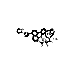 COC(=O)N[C@H](C(=O)N1Cc2c(ccc(-c3ccc(-c4cnc([C@@H]5CCCN5)[nH]4)cc3)c2N(C)c2ccccc2)-c2cnc([nH]2)[C@@H]1C)C(C)C